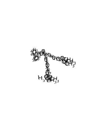 CC(C)(C)OC(=O)COCCOCCOCCN(CCOCCOCCOCC(=O)OC(C)(C)C)C(=O)OCC1c2ccccc2-c2ccccc21